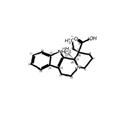 CC[C@@]1(C(=O)O)CCCN2CCc3c([nH]c4ccccc34)[C@]21C